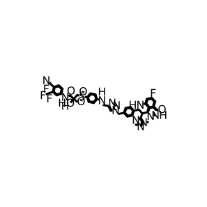 Cn1ncnc1C1c2n[nH]c(=O)c3cc(F)cc(c23)NC1c1ccc(Cn2cc(CNc3ccc(S(=O)(=O)CC(C)(O)C(=O)Nc4ccc(C#N)c(C(F)(F)F)c4)cc3)nn2)cc1